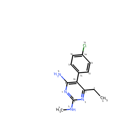 CCc1nc(NC)nc(N)c1-c1ccc(Cl)cc1